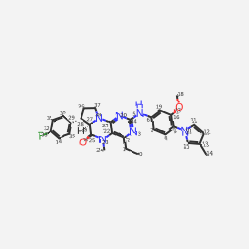 CCc1nc(Nc2ccc(-n3ccc(C)c3)c(OC)c2)nc2c1N(C)C(=O)[C@H]1[C@H](c3ccc(F)cc3)CCN21